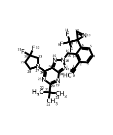 C#Cc1cccc(C2(C(F)(F)F)C=N2)c1Cn1nc2nc(C(C)(C)C)nc(N3CCC(F)(F)C3)c2n1